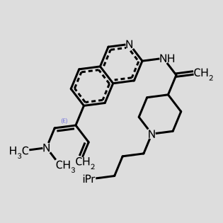 C=C/C(=C\N(C)C)c1ccc2cnc(NC(=C)C3CCN(CCCC(C)C)CC3)cc2c1